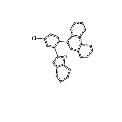 Clc1ccc(-c2cc3ccccc3c3ccccc23)c(-c2cc3ccccc3o2)c1